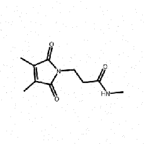 CNC(=O)CCN1C(=O)C(C)=C(C)C1=O